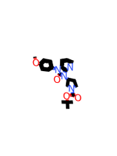 COc1ccc(-n2c(=O)n(C3CCN(C(=O)OC(C)(C)C)C3)c3ncccc32)cc1